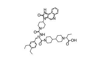 CCc1ccc(C[C@@H](NC(=O)N2CCC(n3c(=O)[nH]c4c5ccccc5ncc43)CC2)C(=O)N2CCC(C3CCN(C(CC)C(=O)O)CC3)CC2)cc1CC